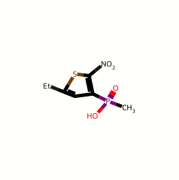 CCc1cc(P(C)(=O)O)c([N+](=O)[O-])s1